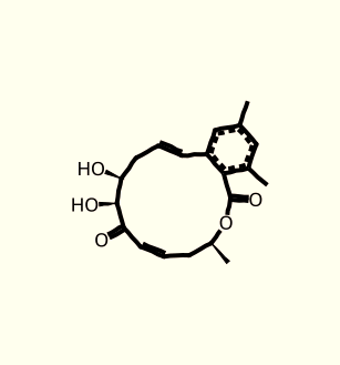 Cc1cc(C)c2c(c1)/C=C/C[C@H](O)[C@H](O)C(=O)/C=C\C[C@H](C)OC2=O